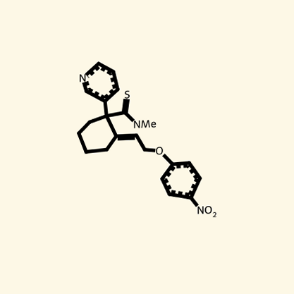 CNC(=S)C1(c2cccnc2)CCCCC1=CCOc1ccc([N+](=O)[O-])cc1